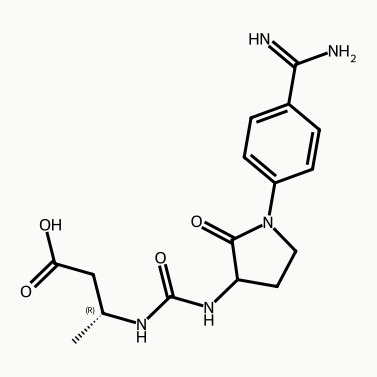 C[C@H](CC(=O)O)NC(=O)NC1CCN(c2ccc(C(=N)N)cc2)C1=O